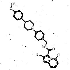 CCc1nc2cccc(Cl)n2c1C(=O)NCc1ccc(N2CCC(c3ccc(OC(F)(F)F)cc3)CC2)cc1